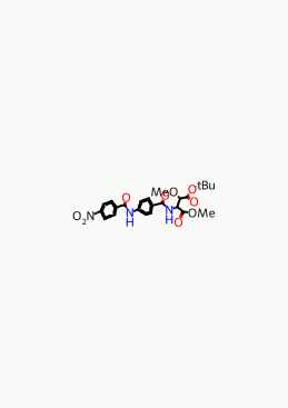 COC(=O)C(NC(=O)c1ccc(NC(=O)c2ccc([N+](=O)[O-])cc2)cc1)C(OC)C(=O)OC(C)(C)C